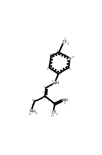 N=C(/C(=C\Nc1ccc(C(F)(F)F)nc1)CN)C(F)(F)F